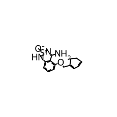 NC1=N[S+]([O-])Nc2cccc(OCC3=CC=CCC3)c21